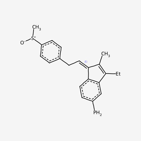 CCC1=C(C)/C(=C/Cc2ccc([S+](C)[O-])cc2)c2ccc(P)cc21